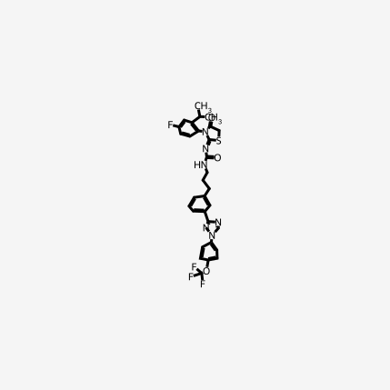 CC(C)c1cc(F)ccc1N1C(=O)CSC1=NC(=O)NCCCc1cccc(-c2ncn(-c3ccc(OC(F)(F)F)cc3)n2)c1